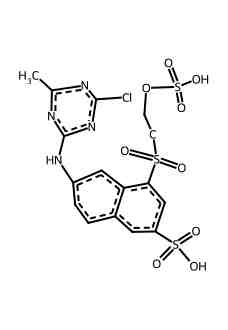 Cc1nc(Cl)nc(Nc2ccc3cc(S(=O)(=O)O)cc(S(=O)(=O)CCOS(=O)(=O)O)c3c2)n1